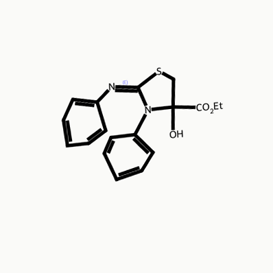 CCOC(=O)C1(O)CS/C(=N/c2ccccc2)N1c1ccccc1